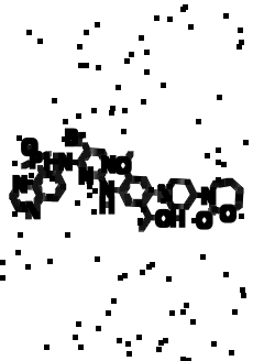 COc1cc(N2CCC(N3C=CC=COC3=O)CC2)c(C(C)O)cc1Nc1ncc(Br)c(Nc2ccc3nccnc3c2P(C)(C)=O)n1